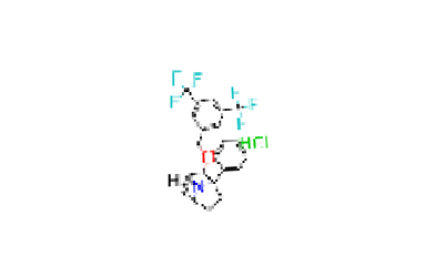 CN1C2CCC(OCc3cc(C(F)(F)F)cc(C(F)(F)F)c3)C1(c1ccccc1)CC2.Cl